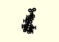 C[C@@H]1c2ccc(NC(=S)NC(=O)OCC3c4ccccc4-c4ccccc43)c(O)c2C(=O)C2=C(O)[C@@]3(O)C(=O)C(C=O)=C(O)[C@H](N(C)C)[C@@H]3[C@@H](O)[C@H]21